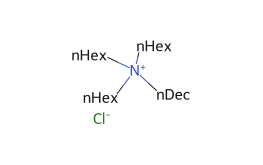 CCCCCCCCCC[N+](CCCCCC)(CCCCCC)CCCCCC.[Cl-]